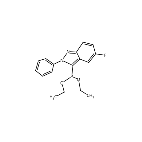 CCOP(OCC)c1c2cc(F)ccc2nn1-c1ccccc1